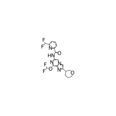 O=C(Nc1cn2cc(C3CCCOC3)nc2c(OC(F)F)n1)c1cccc(C(F)F)n1